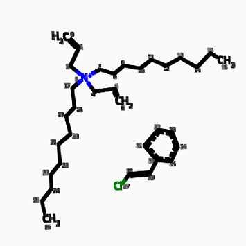 C=CC[N+](CC=C)(CCCCCCCCCC)CCCCCCCCCC.ClC=Cc1ccccc1